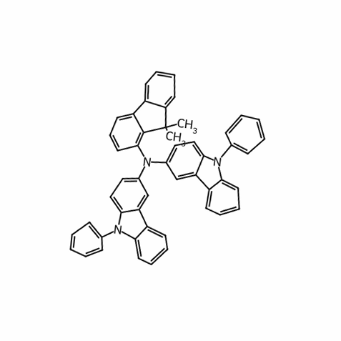 CC1(C)c2ccccc2-c2cccc(N(c3ccc4c(c3)c3ccccc3n4-c3ccccc3)c3ccc4c(c3)c3ccccc3n4-c3ccccc3)c21